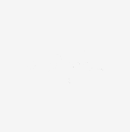 N#Cc1cc(-c2cccc3c2sc2ccc(-c4ccccc4)cc23)cc(N2c3ccc(C#N)cc3C3C=CC=CC32)c1